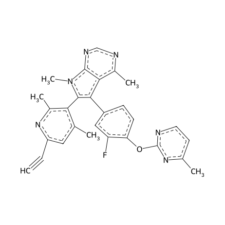 C#Cc1cc(C)c(-c2c(-c3ccc(Oc4nccc(C)n4)c(F)c3)c3c(C)ncnc3n2C)c(C)n1